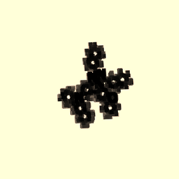 c1ccc2cc(-c3nc(-c4ccc5ccccc5c4)nc(-c4ccc(-n5c6ccccc6c6cc7ccccc7cc65)cc4-c4ccc5oc6ccccc6c5c4)n3)ccc2c1